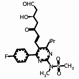 CC(C)c1nc(N(C)S(C)(=O)=O)nc(-c2ccc(F)cc2)c1/C=C/C(=O)C[C@@H](O)CC=O